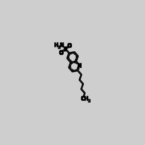 CCCCCCc1ccc2cc(S(N)(=O)=O)ccc2n1